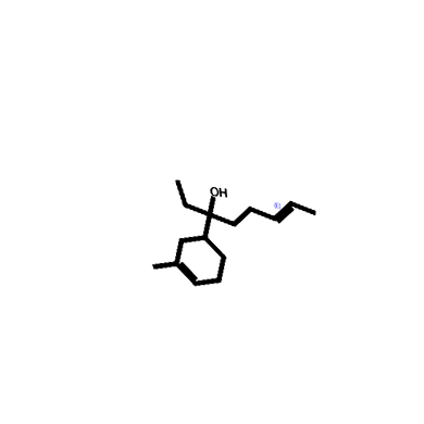 C/C=C/CCC(O)(CC)C1CCC=C(C)C1